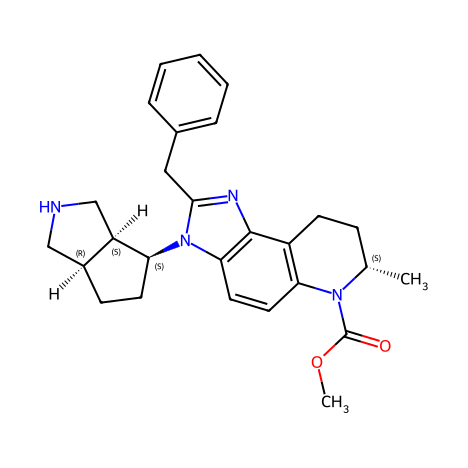 COC(=O)N1c2ccc3c(nc(Cc4ccccc4)n3[C@H]3CC[C@H]4CNC[C@H]43)c2CC[C@@H]1C